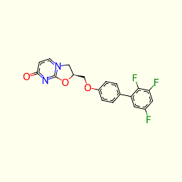 O=c1ccn2c(n1)O[C@H](COc1ccc(-c3cc(F)cc(F)c3F)cc1)C2